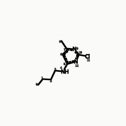 CCCCNc1cc(C)nc(Cl)n1